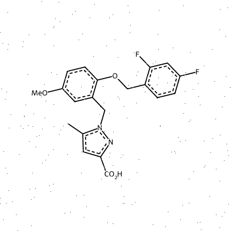 COc1ccc(OCc2ccc(F)cc2F)c(Cn2nc(C(=O)O)cc2C)c1